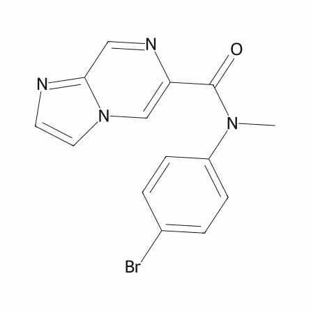 CN(C(=O)c1cn2ccnc2cn1)c1ccc(Br)cc1